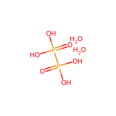 O.O.O=P(O)(O)P(=O)(O)O